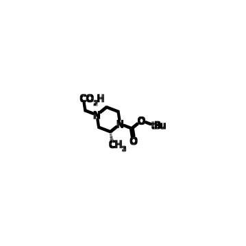 C[C@@H]1CN(CC(=O)O)CCN1C(=O)OC(C)(C)C